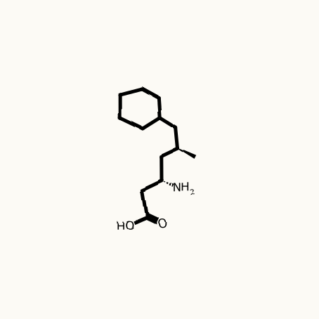 C[C@H](CC1CCCCC1)C[C@H](N)CC(=O)O